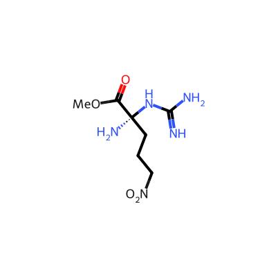 COC(=O)[C@](N)(CCC[N+](=O)[O-])NC(=N)N